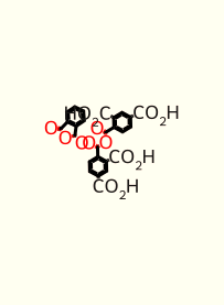 O=C(O)c1ccc(C(=O)OC(=O)c2ccc(C(=O)O)cc2C(=O)O)c(C(=O)O)c1.O=C1OC(=O)c2ccccc21